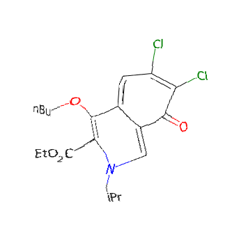 CCCCOc1c2cc(Cl)c(Cl)c(=O)c-2cn(C(C)C)c1C(=O)OCC